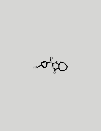 CCCc1ccc(N(CC)C2=NC(=O)C3CCCCCCC3S2)cc1